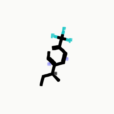 C=C(/C=C\C(=C/C)[C@@H](C)CC)C(F)(F)F